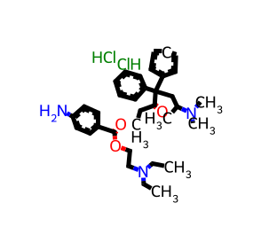 CCC(=O)C(CC(C)N(C)C)(c1ccccc1)c1ccccc1.CCN(CC)CCOC(=O)c1ccc(N)cc1.Cl.Cl